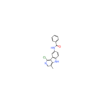 Cc1cnc(Cl)c2c1[nH]c1ccc(NC(=O)c3ccccc3)cc12